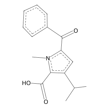 CC(C)c1cc(C(=O)c2ccccc2)n(C)c1C(=O)O